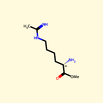 COC(=O)[C@@H](N)CCCCNC(C)=N